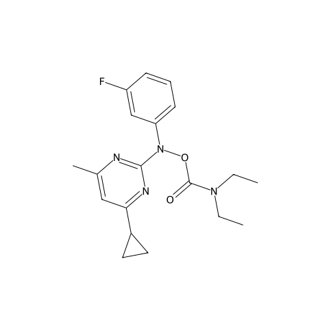 CCN(CC)C(=O)ON(c1cccc(F)c1)c1nc(C)cc(C2CC2)n1